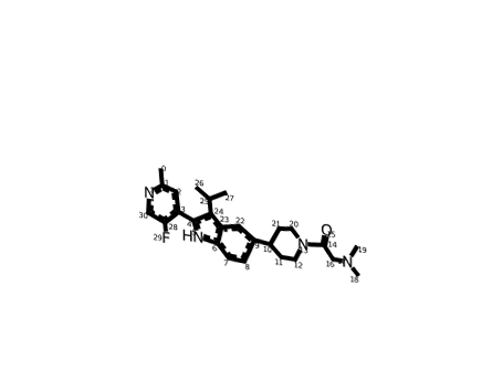 Cc1cc(-c2[nH]c3ccc(C4CCN(C(=O)CN(C)C)CC4)cc3c2C(C)C)c(F)cn1